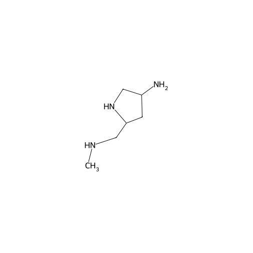 CNCC1CC(N)CN1